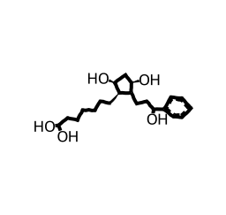 OC(O)CCCCCC[C@@H]1C(CCC(O)c2ccccc2)[C@H](O)C[C@@H]1O